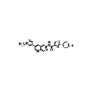 Cn1cc(-c2cnc3cnc(NC(=O)c4coc(C5CCNCC5)n4)cc3c2)cn1